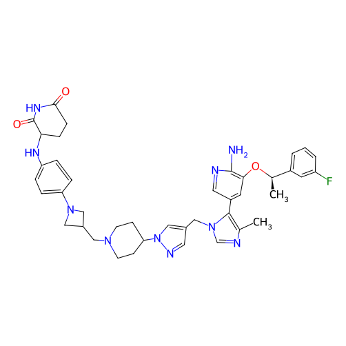 Cc1ncn(Cc2cnn(C3CCN(CC4CN(c5ccc(NC6CCC(=O)NC6=O)cc5)C4)CC3)c2)c1-c1cnc(N)c(O[C@H](C)c2cccc(F)c2)c1